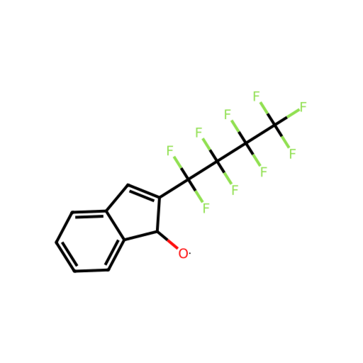 [O]C1C(C(F)(F)C(F)(F)C(F)(F)C(F)(F)F)=Cc2ccccc21